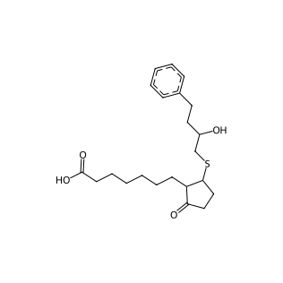 O=C(O)CCCCCCC1C(=O)CCC1SCC(O)CCc1ccccc1